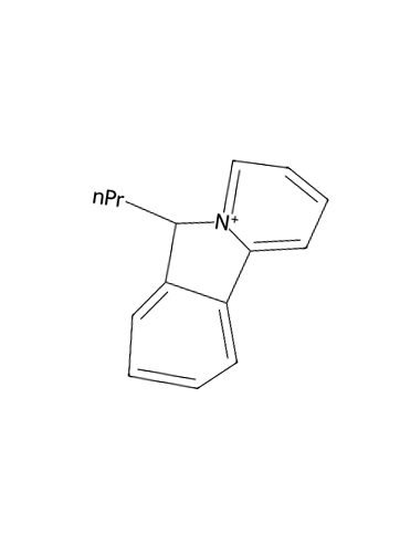 CCCC1c2ccccc2-c2cccc[n+]21